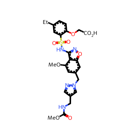 CCc1ccc(OCC(=O)O)c(S(=O)(=O)Nc2noc3cc(Cn4cc(CNC(=O)OC)cn4)cc(OC)c23)c1